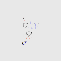 CNCCN(C)[C@H]1C(OC=O)CCC[C@@H]1Nc1cc(F)c(S(=O)(=O)Nc2nccs2)cc1Cl